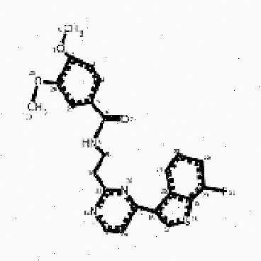 COc1ccc(C(=O)NCCc2nccc(-c3csc4c(F)cccc34)n2)cc1OC